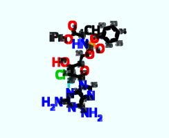 CC(C)OC(=O)[C@H](C)N[P@](=O)(OC[C@H]1O[C@@H](n2cnc3c(N)nc(N)nc32)[C@](F)(Cl)[C@@H]1O)Oc1ccccc1